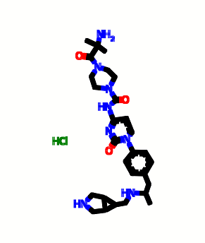 CC(Cc1ccc(-n2ccc(NC(=O)N3CCN(C(=O)C(C)(C)N)CC3)nc2=O)cc1)NCC1C2CNCC21.Cl